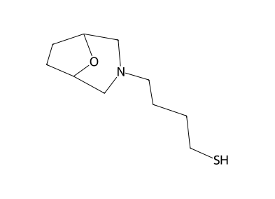 SCCCCN1CC2CCC(C1)O2